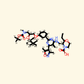 CCC1OCCN(C(=O)O)[C@H]1CNc1nc(-c2cccc(OCC(CN(C)C(=O)OC(C)(C)C)O[Si](C)(C)C(C)(C)C)c2)nc(-c2c(C)noc2C)c1C